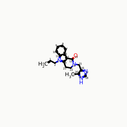 C=CCn1c2c(c3ccccc31)C(=O)N(Cc1nc[nH]c1C)CC2